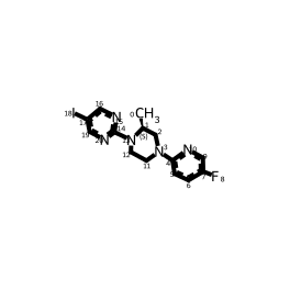 C[C@H]1CN(c2ccc(F)cn2)CCN1c1ncc(I)cn1